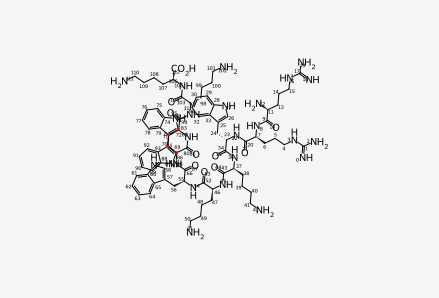 N=C(N)NCCC[C@H](NC(=O)[C@@H](N)CCCNC(=N)N)C(=O)N[C@@H](Cc1c[nH]c2ccccc12)C(=O)N[C@@H](CCCCN)C(=O)N[C@@H](CCCCN)C(=O)N[C@@H](Cc1c[nH]c2ccccc12)C(=O)N[C@@H](Cc1c[nH]c2ccccc12)C(=O)N[C@@H](Cc1c[nH]c2ccccc12)C(=O)N[C@@H](CCCCN)C(=O)N[C@@H](CCCCN)C(=O)O